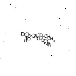 COC(=O)C(Cc1cc(C)c2cncn2c1)OC(=O)N1CCC(N2CCc3ccccc3NC2=O)CC1